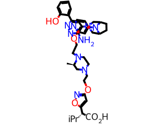 CC(C)[C@@H](C(=O)O)c1cc(OCCN2CCN(CCOc3cc(N4C5CCC4CN(c4cc(-c6ccccc6O)nnc4N)C5)ccn3)[C@H](C)C2)no1